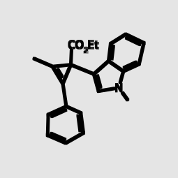 CCOC(=O)C1(c2cn(C)c3ccccc23)C(C)=C1c1ccccc1